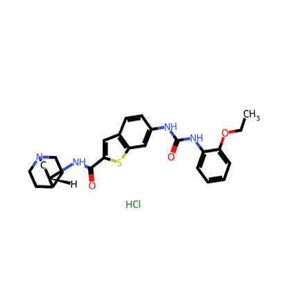 CCOc1ccccc1NC(=O)Nc1ccc2cc(C(=O)N[C@H]3CN4CCC3CC4)sc2c1.Cl